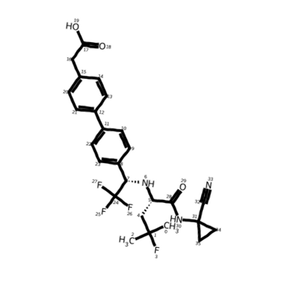 CC(C)(F)C[C@H](N[C@@H](c1ccc(-c2ccc(CC(=O)O)cc2)cc1)C(F)(F)F)C(=O)NC1(C#N)CC1